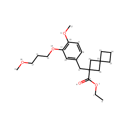 CCOC(=O)C1(Cc2ccc(OC)c(OCCCOC)c2)CC2(CCC2)C1